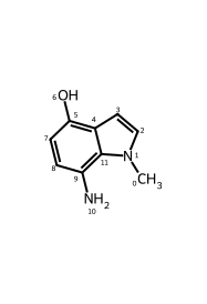 Cn1ccc2c(O)ccc(N)c21